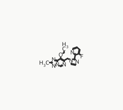 CCOc1c(Cn2ccnc2-c2ncccc2F)ncn2nc(C)nc12